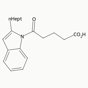 CCCCCCCc1cc2ccccc2n1C(=O)CCCC(=O)O